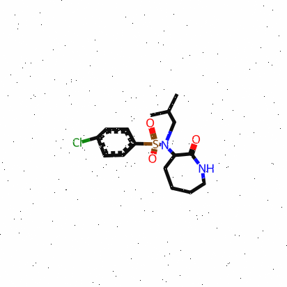 CC(C)CN(C1CCCCNC1=O)S(=O)(=O)c1ccc(Cl)cc1